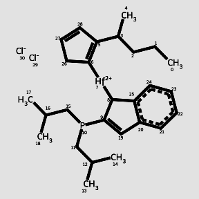 CCCC(C)C1=[C]([Hf+2][CH]2C(P(CC(C)C)CC(C)C)=Cc3ccccc32)CC=C1.[Cl-].[Cl-]